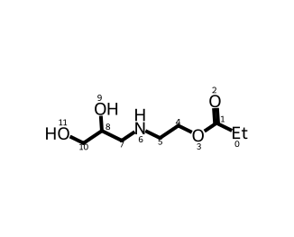 CCC(=O)OCCNCC(O)CO